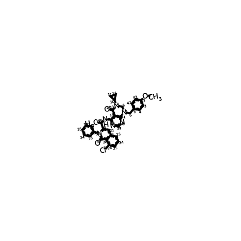 COc1ccc(CN2CN(C3CC3)C(=O)c3c(NC(C)c4cc5cccc(Cl)c5c(=O)n4-c4ccccc4)ncnc32)cc1